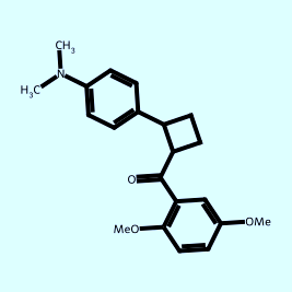 COc1ccc(OC)c(C(=O)C2CCC2c2ccc(N(C)C)cc2)c1